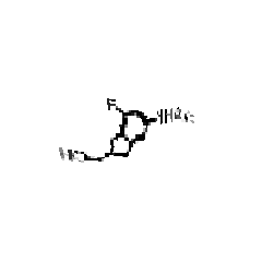 CC(=O)Nc1cc(F)c2c(c1)CC(CO)C2